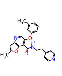 Cc1cccc(Oc2cnc3c(c2C(=O)NCCc2ccncc2)OC(C)C3)c1